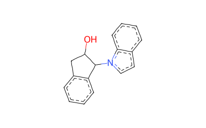 OC1Cc2ccccc2C1n1ccc2ccccc21